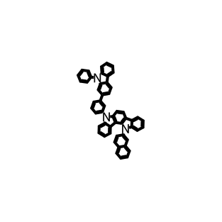 c1ccc(-n2c3ccccc3c3ccc(-c4cccc(-n5c6ccccc6c6c5ccc5c7ccccc7n(-c7ccc8ccccc8c7)c56)c4)cc32)cc1